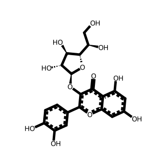 O=c1c(O[C@@H]2O[C@@H]([C@H](O)CO)[C@H](O)[C@H]2O)c(-c2ccc(O)c(O)c2)oc2cc(O)cc(O)c12